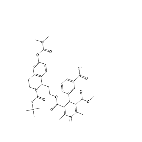 COC(=O)C1=C(C)NC(C)=C(C(=O)OCCC2c3ccc(OC(=O)N(C)C)cc3CCN2C(=O)OC(C)(C)C)C1c1cccc([N+](=O)[O-])c1